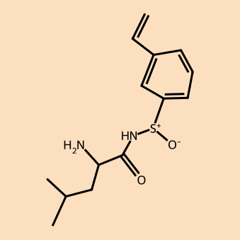 C=Cc1cccc([S+]([O-])NC(=O)C(N)CC(C)C)c1